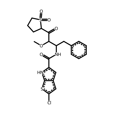 COC(C(=O)C1CCCS1(=O)=O)C(Cc1ccccc1)NC(=O)c1cc2cc(Cl)sc2[nH]1